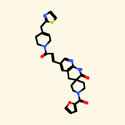 O=C(/C=C/c1cnc2c(c1)CC1(CCN(C(=O)c3ccco3)CC1)C(=O)N2)N1CC=C(Cc2nccs2)CC1